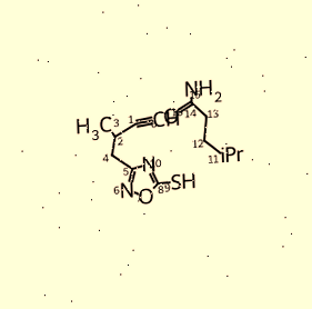 C#CC(C)Cc1noc(S)n1.CC(C)CCC(N)=O